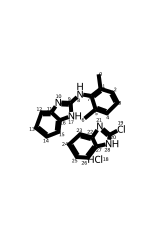 Cc1cccc(C)c1Nc1nc2ccccc2[nH]1.Cl.Clc1nc2ccccc2[nH]1